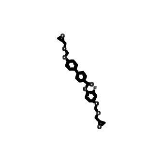 O=C(Oc1ccc(OCOCC2CO2)cc1F)c1ccc(-c2ccc(OCOCC3CO3)cc2)cc1